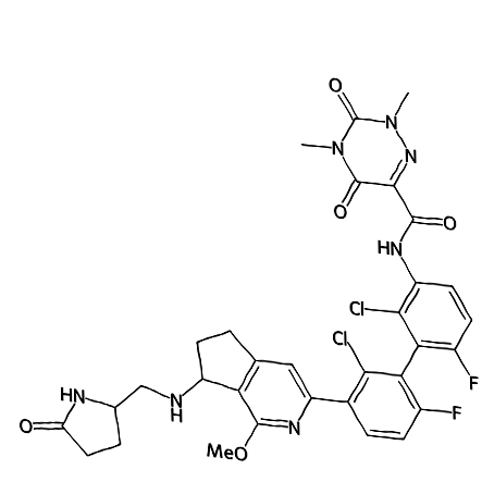 COc1nc(-c2ccc(F)c(-c3c(F)ccc(NC(=O)c4nn(C)c(=O)n(C)c4=O)c3Cl)c2Cl)cc2c1C(NCC1CCC(=O)N1)CC2